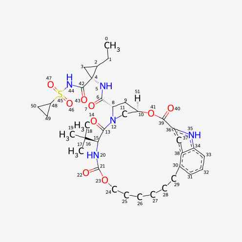 CCC1C[C@]1(NC(=O)[C@@H]1C[C@@H]2CN1C(=O)[C@H](C(C)(C)C)NC(=O)OCCCCCCc1cccc3[nH]c(cc13)C(=O)O2)C(=O)NS(=O)(=O)C1CC1